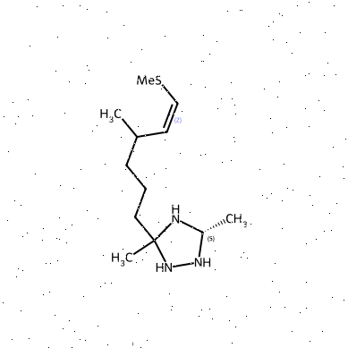 CS/C=C\C(C)CCCC1(C)NN[C@@H](C)N1